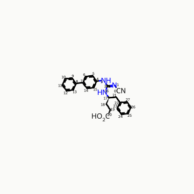 N#C/N=C(/Nc1ccc(-c2ccccc2)cc1)N[C@H](CCC(=O)O)Cc1ccccc1